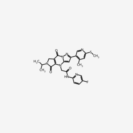 CSc1cc(C)c(-c2cc3n(CC(=O)Nc4ccc(F)cn4)c4c(c(=O)n3n2)CN(C(C)C)C4=O)cn1